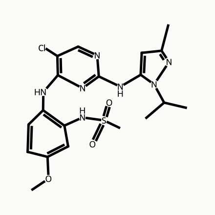 COc1ccc(Nc2nc(Nc3cc(C)nn3C(C)C)ncc2Cl)c(NS(C)(=O)=O)c1